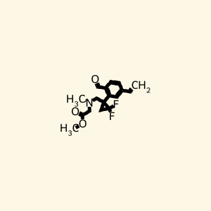 C=Cc1ccc(C=O)c(C2(CN(C)CC(=O)OC)CC2(F)F)c1